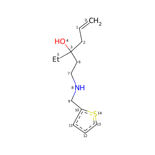 C=CCC(O)(CC)CCNCc1cccs1